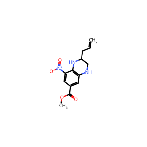 C=CC[C@H]1CNc2cc(C(=O)OC)cc([N+](=O)[O-])c2N1